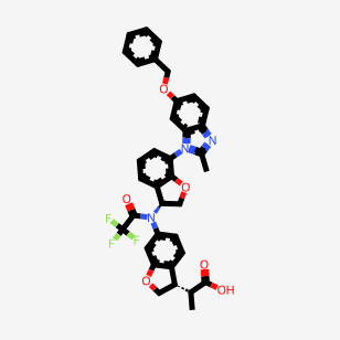 Cc1nc2ccc(OCc3ccccc3)cc2n1-c1cccc2c1OC[C@H]2N(C(=O)C(F)(F)F)c1ccc2c(c1)OC[C@H]2C(C)C(=O)O